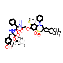 CCCCC1(CCCC)CN(c2ccccc2)c2cc(SC)c(OCC(=O)N[C@@H](C(=O)N[C@H](Cc3ccc(O)cc3)C(=O)OC(C)(C)C)c3ccccc3)cc2S(=O)(=O)C1